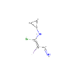 N=C/C(I)=C(/Br)NC1CC1